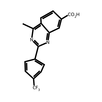 Cc1nc(-c2ccc(C(F)(F)F)cc2)nc2cc(C(=O)O)ccc12